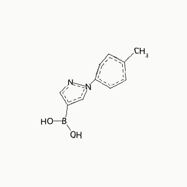 Cc1ccc(-n2cc(B(O)O)cn2)cc1